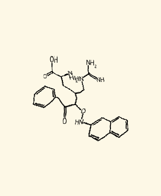 N=C(N)NCC(C[C@H](N)C(=O)O)C(ONc1ccc2ccccc2c1)C(=O)c1ccccc1